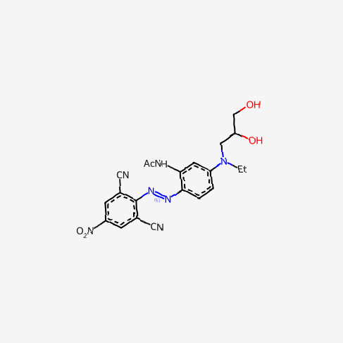 CCN(CC(O)CO)c1ccc(/N=N/c2c(C#N)cc([N+](=O)[O-])cc2C#N)c(NC(C)=O)c1